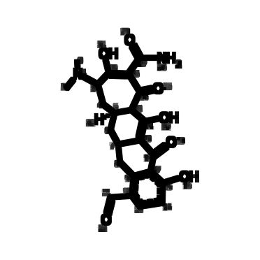 CN(C)C1C[C@@H]2CC3Cc4c(C=O)ccc(O)c4C(=O)C3=C(O)C2C(=O)C(C(N)=O)=C1O